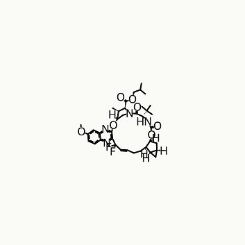 COc1ccc2nc3c(nc2c1)O[C@H]1CN(C(=O)[C@H](C(C)(C)C)NC(=O)O[C@@H]2C[C@@H]4C[C@@H]4[C@H]2CC/C=C/C3(F)F)[C@H](C(=O)OCC(C)C)[C@@H]1C